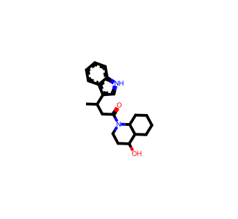 CC(CC(=O)N1CCC(O)C2CCCCC21)c1c[nH]c2ccccc12